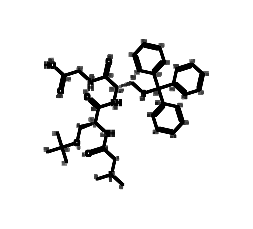 CN(C)CC(=O)N[C@@H](COC(C)(C)C)C(=O)N[C@@H](CSC(c1ccccc1)(c1ccccc1)c1ccccc1)C(=O)NCC(=O)O